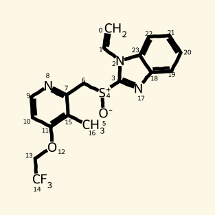 C=Cn1c([S+]([O-])Cc2nccc(OCC(F)(F)F)c2C)nc2ccccc21